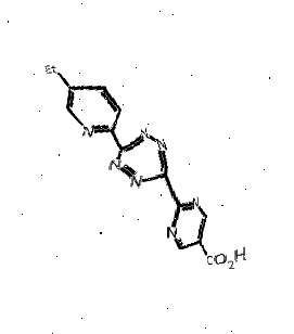 CCc1ccc(-c2nnc(-c3ncc(C(=O)O)cn3)nn2)nc1